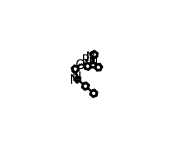 [Pt][c]1c(Oc2cccc(-n3cc(-c4ccc(-c5ccccc5)cc4)cn3)c2)ccc2c3ccccc3n(-c3ccccn3)c12